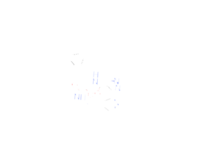 Cn1ncc(C(=O)NC(CCc2ccccc2)C(=O)C(N)=O)c1-c1ccccn1